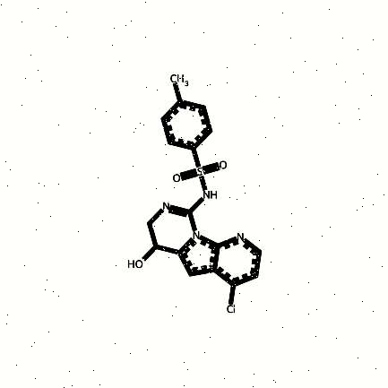 Cc1ccc(S(=O)(=O)NC2=NCC(O)c3cc4c(Cl)ccnc4n32)cc1